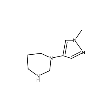 Cn1cc(N2CCCNC2)cn1